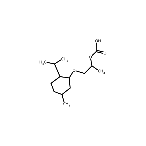 CC1CCC(C(C)C)C(OCC(C)OC(=O)O)C1